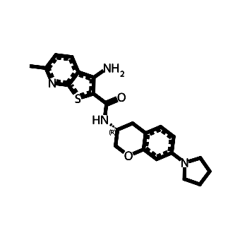 Cc1ccc2c(N)c(C(=O)N[C@H]3COc4cc(N5CCCC5)ccc4C3)sc2n1